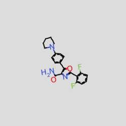 NC(=O)c1nc(-c2c(F)cccc2F)oc1-c1ccc(N2CCCCC2)cc1